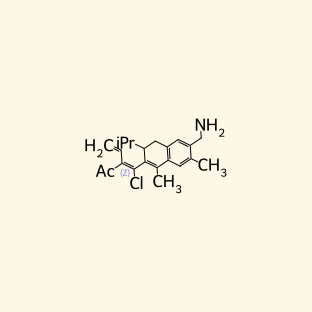 C=C/C(C(C)=O)=C(/Cl)C1=C(C)c2cc(C)c(CN)cc2CC1C(C)C